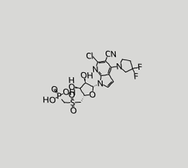 N#Cc1c(Cl)nc2c(ccn2[C@@H]2O[C@H](CS(=O)(=O)CP(=O)(O)O)[C@@H](O)[C@H]2O)c1N1CCC(F)(F)C1